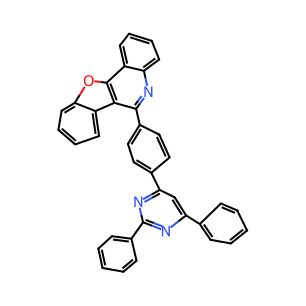 c1ccc(-c2cc(-c3ccc(-c4nc5ccccc5c5oc6ccccc6c45)cc3)nc(-c3ccccc3)n2)cc1